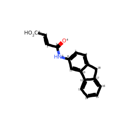 O=C(O)C=CC(=O)Nc1ccc2c(c1)-c1ccccc1C2